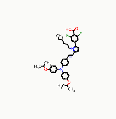 CCCCCCn1c(/C=C/c2ccc(N(c3ccc(OC(C)C)cc3)c3ccc(OC(C)C)cc3)cc2)ccc1-c1cc(F)c(C(=O)O)c(F)c1